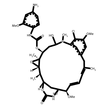 COc1cc(N)ccc1NC(=O)O[C@H]1CC(O)N(C)c2cc(cc(OC)c2Cl)C/C(C)=C/C=C/[C@@H](OC)[C@@]2(O)C[C@H](OC(=O)N2)[C@@H](C)[C@@H]2O[C@@]12C